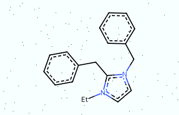 CC[n+]1ccn(Cc2ccccc2)c1Cc1ccccc1